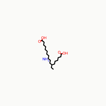 CCC(CCCCCCCCCCC(=O)O)CCCCCC(=O)O.N